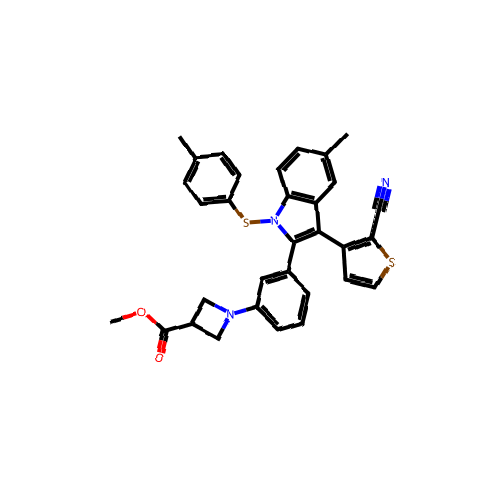 COC(=O)C1CN(c2cccc(-c3c(-c4ccsc4C#N)c4cc(C)ccc4n3Sc3ccc(C)cc3)c2)C1